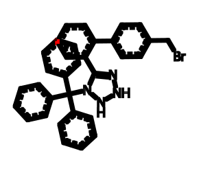 BrCc1ccc(-c2ccccc2C2=NNNN2C(c2ccccc2)(c2ccccc2)c2ccccc2)cc1